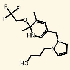 CC1=CC(CN2CC=CN2CCCO)=CNC1(C)OCC(F)(F)F